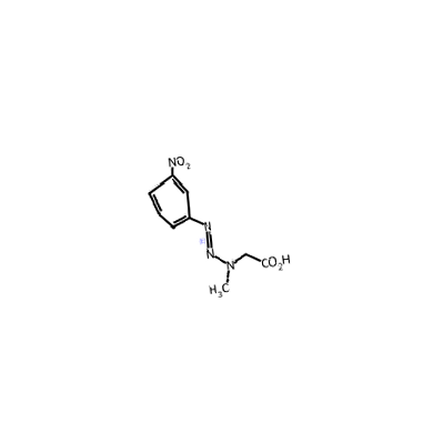 CN(CC(=O)O)/N=N/c1cccc([N+](=O)[O-])c1